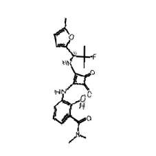 Cc1ccc([C@H](Nc2c(Nc3cccc(C(=O)N(C)C)c3O)c(=O)c2=O)C(C)(C)F)o1